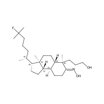 C[C@H](CCCC(C)(C)F)[C@H]1CC[C@H]2[C@@H]3CCC(=NO)[C@](C)(CCCO)[C@H]3CC[C@]12C